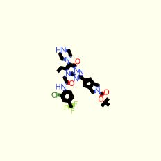 CCc1c(N2CCNCC2)c(=O)n2nc(C3=CC4CN(C(=O)OC(C)(C)C)CC4C3)nc2n1CC(=O)Nc1ccc(C(F)(F)F)cc1Cl